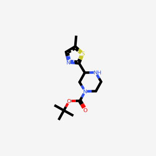 Cc1cnc(C2CN(C(=O)OC(C)(C)C)CCN2)s1